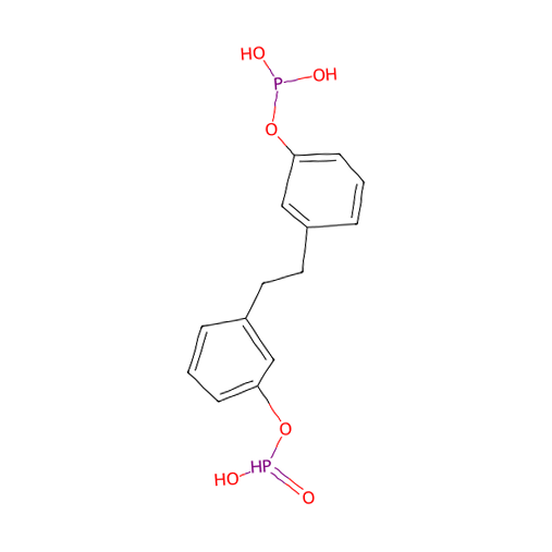 O=[PH](O)Oc1cccc(CCc2cccc(OP(O)O)c2)c1